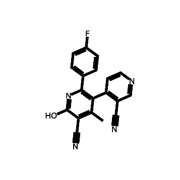 Cc1c(C#N)c(O)nc(-c2ccc(F)cc2)c1-c1ccncc1C#N